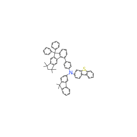 CC1(C)CC(C)(C)c2cc3c(cc21)-c1c(-c2ccc(N(c4ccc5c(c4)-c4ccccc4C5(C)C)c4ccc5c(c4)sc4ccccc45)cc2)cccc1C3(c1ccccc1)c1ccccc1